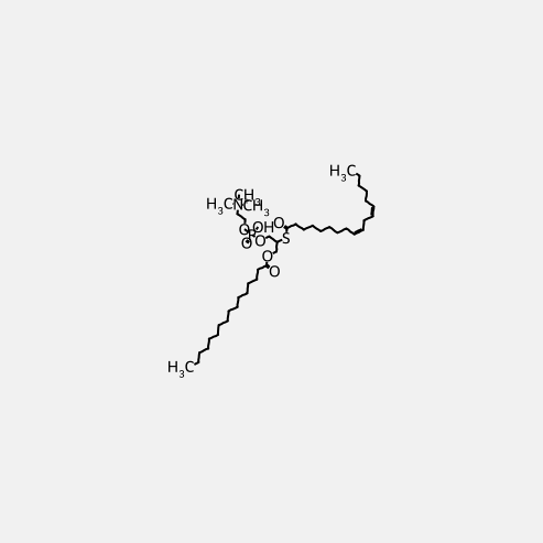 CCCCC/C=C\C/C=C\CCCCCCCC(=O)SC(COC(=O)CCCCCCCCCCCCCCC)COP(=O)(O)OCC[N+](C)(C)C